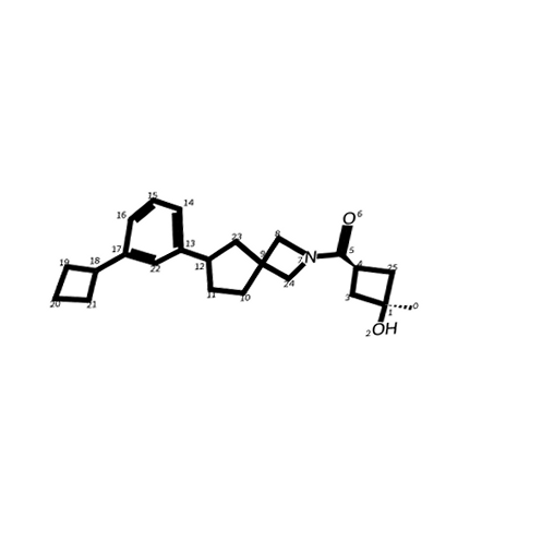 C[C@]1(O)C[C@@H](C(=O)N2CC3(CCC(c4cccc(C5CCC5)c4)C3)C2)C1